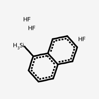 F.F.F.[SiH3]c1cccc2ccccc12